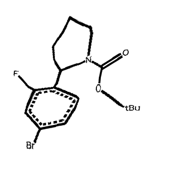 CC(C)(C)OC(=O)N1CCCC1c1ccc(Br)cc1F